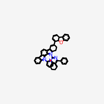 C1=CC2c3ccccc3OC2C(C2=Cc3c(n(-c4nc(-c5ccccc5)c5c(n4)=CCCC=5)c4c3ccc3c5ccccc5n(-c5ccccc5)c34)CC2)=C1